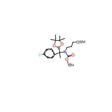 COCCCN(C(=O)OC(C)(C)C)C(C)(B1OC(C)(C)C(C)(C)O1)c1ccc(F)cc1